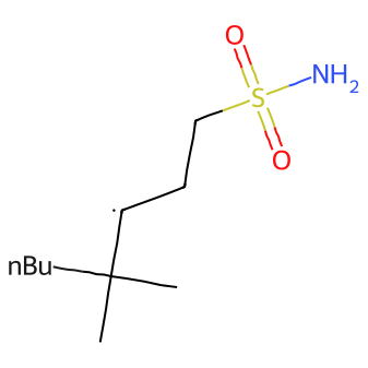 CCCCC(C)(C)[CH]CCS(N)(=O)=O